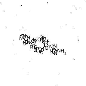 Nc1ncnc2c1ncn2[C@@H]1O[C@@H]2COP(=O)(O)O[C@H]3[C@@H](F)[C@H](n4cnc5c4ncn4ccnc54)O[C@@H]3COP(=O)(O)O[C@H]2[C@H]1F